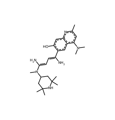 Cc1cc(N(C)C)c2cc(/C(N)=C/C=C(\N)N(C)C3CC(C)(C)NC(C)(C)C3)c(O)cc2n1